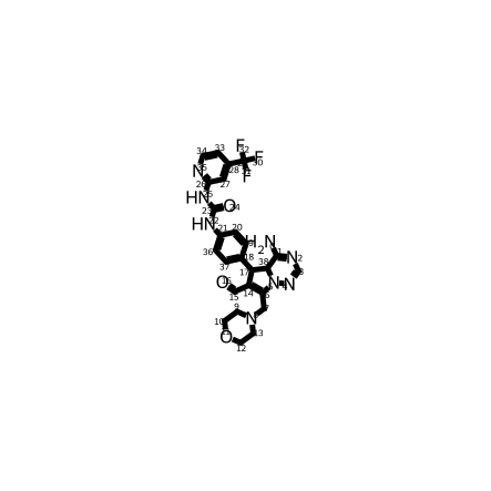 NC1=NC=NN2C(CN3CCOCC3)=C(C=O)C(c3ccc(NC(=O)Nc4cc(C(F)(F)F)ccn4)cc3)C12